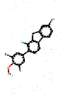 CCCc1ccc2c(c1)Cc1c-2ccc(-c2cc(F)c(OC(F)(F)F)c(F)c2)c1F